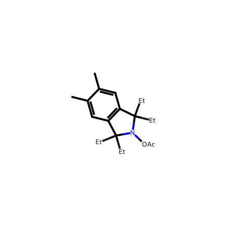 CCC1(CC)c2cc(C)c(C)cc2C(CC)(CC)N1OC(C)=O